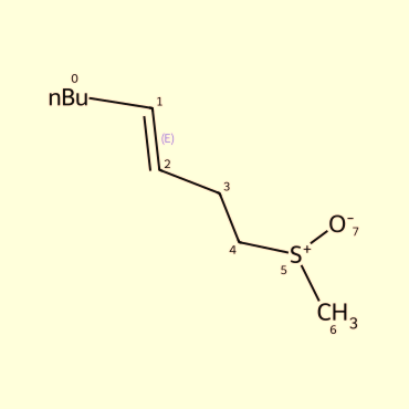 CCCC/C=C/CC[S+](C)[O-]